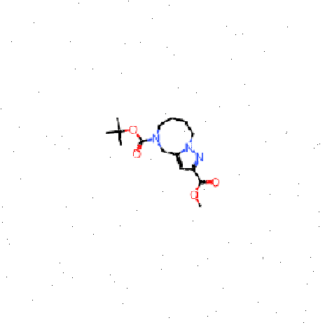 COC(=O)c1cc2n(n1)CCCCN(C(=O)OC(C)(C)C)C2